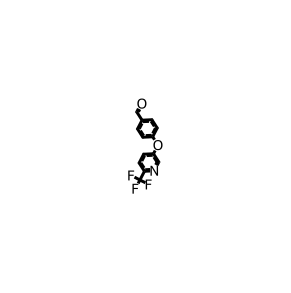 O=Cc1ccc(Oc2ccc(C(F)(F)F)nc2)cc1